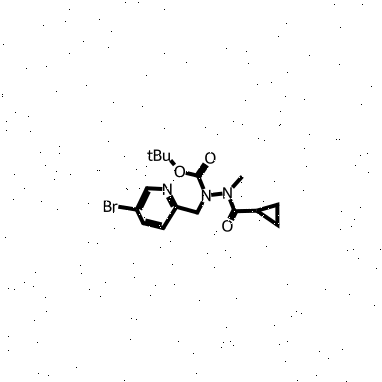 CN(C(=O)C1CC1)N(Cc1ccc(Br)cn1)C(=O)OC(C)(C)C